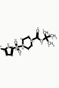 CC(C)(C)OC(=O)N1CCN(S(=O)(=O)c2ccc(Br)s2)CC1